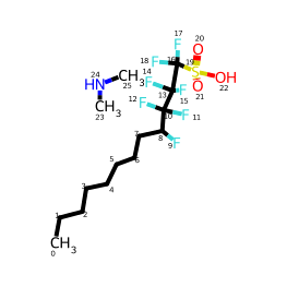 CCCCCCCCC(F)C(F)(F)C(F)(F)C(F)(F)S(=O)(=O)O.CNC